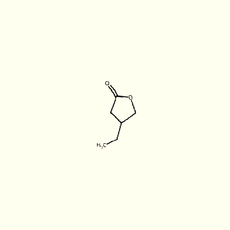 CCC1COC(=O)C1